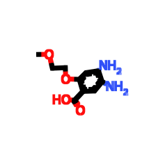 COCCOc1cc(N)c(N)cc1C(=O)O